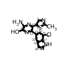 Cc1ncc(-c2nc(N)c(O)nc2-c2cc(Cl)c3[nH]ncc3c2)s1